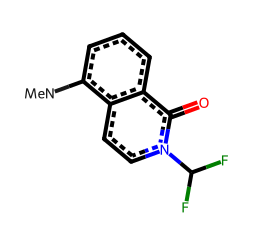 CNc1cccc2c(=O)n(C(F)F)ccc12